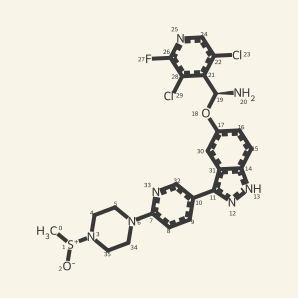 C[S+]([O-])N1CCN(c2ccc(-c3n[nH]c4ccc(O[C@H](N)c5c(Cl)cnc(F)c5Cl)cc34)cn2)CC1